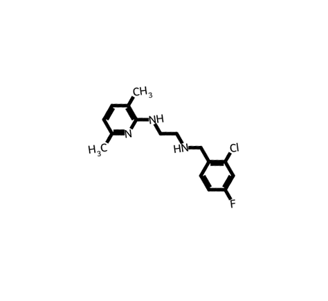 Cc1ccc(C)c(NCCNCc2ccc(F)cc2Cl)n1